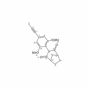 CC#Cc1cc(OC)c(C2C(=O)C3CCC(C3)C2=O)c(OC)c1